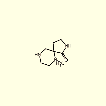 CN1CCNCC12CCNC2=O